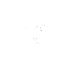 C=CC(=O)NCCN(CCNC(=O)C=C)C(C)(C)C